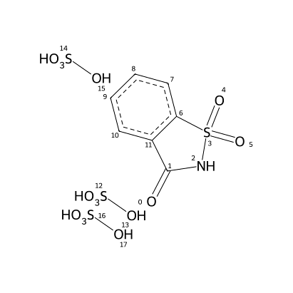 O=C1NS(=O)(=O)c2ccccc21.O=S(=O)(O)O.O=S(=O)(O)O.O=S(=O)(O)O